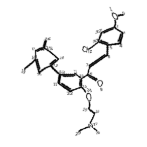 COc1ccc(C=CC(=O)c2cc(-c3cc(C)cc(C)c3)ccc2OCCN(C)C)c(Cl)c1